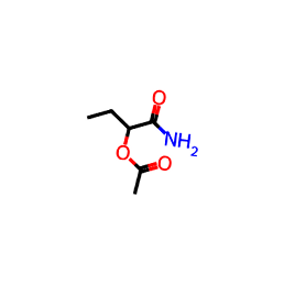 CCC(OC(C)=O)C(N)=O